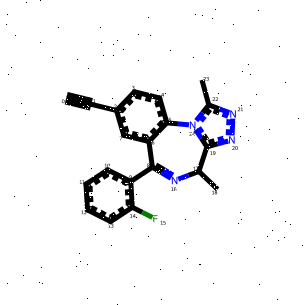 C#Cc1ccc2c(c1)C(c1ccccc1F)=NC(C)c1nnc(C)n1-2